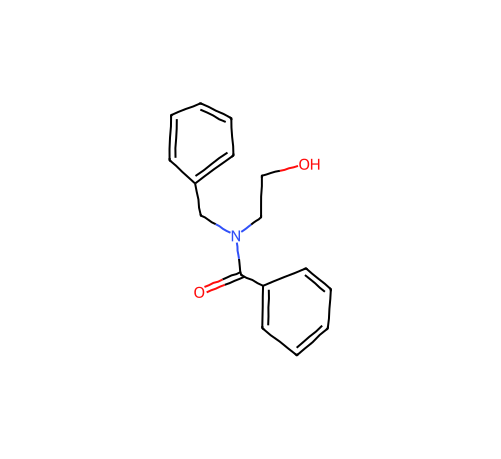 O=C(c1ccccc1)N(CCO)Cc1ccccc1